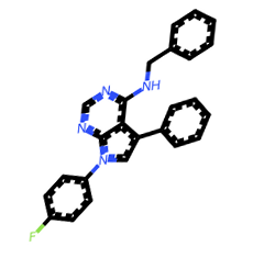 Fc1ccc(-n2cc(-c3ccccc3)c3c(NCc4ccccc4)ncnc32)cc1